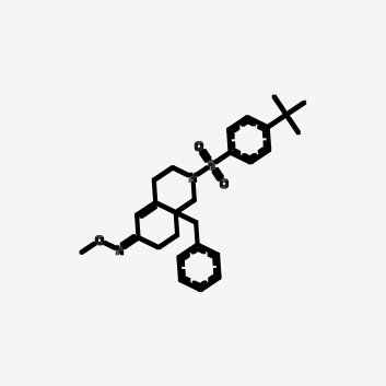 CON=C1C=C2CCN(S(=O)(=O)c3ccc(C(C)(C)C)cc3)CC2(Cc2ccccc2)CC1